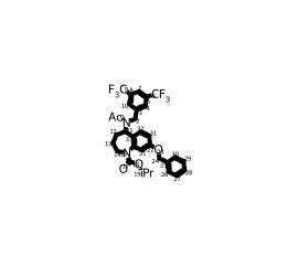 CC(=O)N(Cc1cc(C(F)(F)F)cc(C(F)(F)F)c1)C1CCCN(C(=O)OC(C)C)c2cc(OCc3ccccc3)ccc21